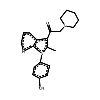 Cc1c(C(=O)CN2CCCCC2)c2cccnc2n1-c1ccc(C#N)cc1